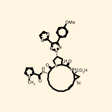 COc1ccc(-c2nn([C@@H]3C[C@H]4C(=O)N[C@]5(C(=O)O)C[C@H]5/C=C\CCCCC[C@H](NC(=O)c5cccn5C)C(=O)N4C3)nc2-c2nccs2)cc1